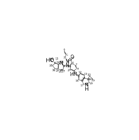 C=CCn1c(=O)c2ccc(Nc3ccc4c(c3)CNCC43CC3)cc2n1-c1ccc2c(n1)[C@](C)(O)CC2